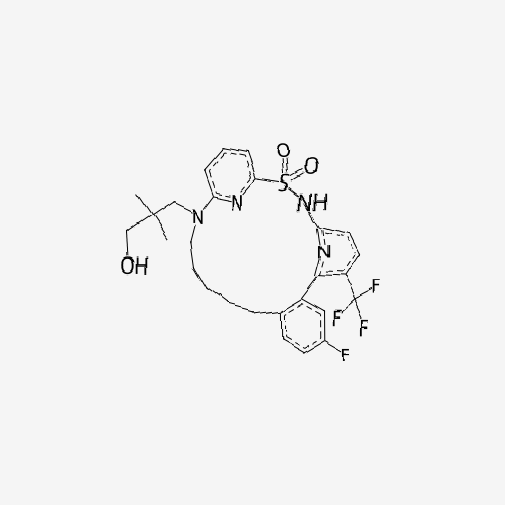 CC(C)(CO)CN1CCCCCc2ccc(F)cc2-c2nc(ccc2C(F)(F)F)NS(=O)(=O)c2cccc1n2